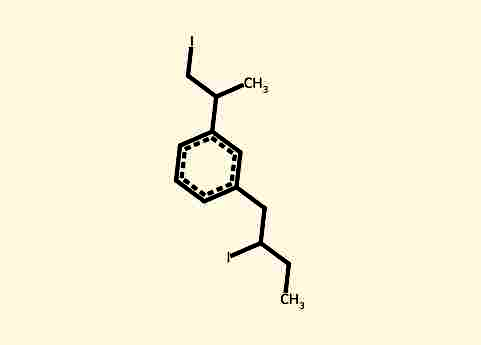 CCC(I)Cc1cccc(C(C)CI)c1